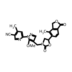 COc1c(CN2CC(c3ccc4c(c3C)COC4=O)OC2=O)cnn1-c1cc(C)c(C#N)cn1